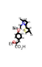 CCO[C@@H](Cc1ccc(OCCn2c(C)ccc2-c2cc(C)cs2)cc1)C(=O)O.[Na]